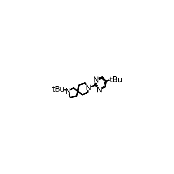 CC(C)(C)c1cnc(N2CCC3(CC2)CCN(C(C)(C)C)C3)nc1